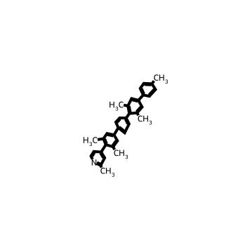 Cc1ccc(-c2cc(C)c(-c3ccc(-c4cc(C)c(-c5ccnc(C)c5)c(C)c4)cc3)c(C)c2)cc1